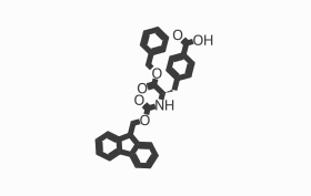 O=C(N[C@@H](Cc1ccc(C(=O)O)cc1)C(=O)OCc1ccccc1)OCC1c2ccccc2-c2ccccc21